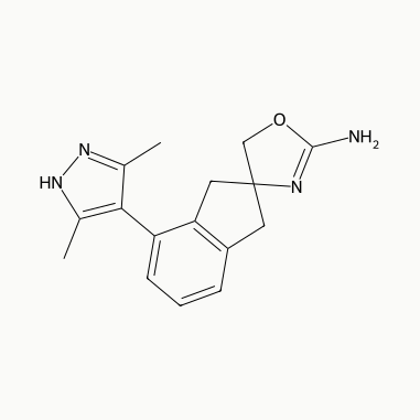 Cc1n[nH]c(C)c1-c1cccc2c1CC1(COC(N)=N1)C2